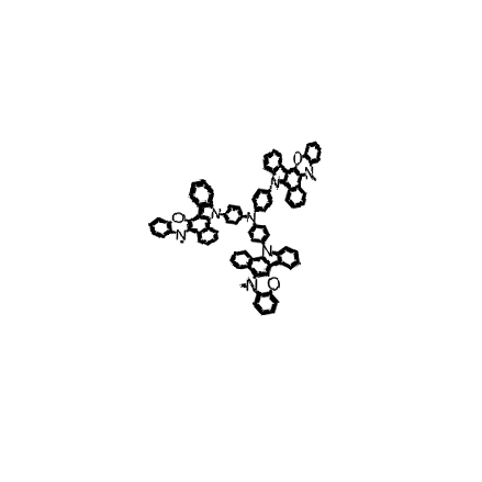 CN1c2ccccc2Oc2c1c1ccccc1c1c2c2ccccc2n1-c1ccc(N(c2ccc(-n3c4ccccc4c4c5c(c6ccccc6c43)N(C)c3ccccc3O5)cc2)c2ccc(-n3c4ccccc4c4c5c(c6ccccc6c43)N(C)c3ccccc3O5)cc2)cc1